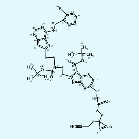 C#CCCC1(CCC(=O)NCc2ccc3c(c2)nc(CCN(CCc2nc4c(NCc5ncccc5F)ncnc4s2)C(=O)OC(C)(C)C)n3C(=O)OC(C)(C)C)N=N1